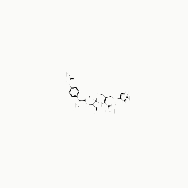 NC(=S)Nc1ccc(C(N)C(=O)NC2C(=O)N3C(C(=O)O)=C(CSc4c[nH]nn4)CS[C@@H]23)cc1